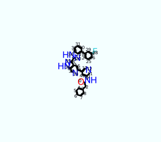 O=C(Cc1ccccc1)Nc1cncc(-c2cc3c(-c4nc5c(-c6cccc(F)c6)cccc5[nH]4)n[nH]c3cn2)c1